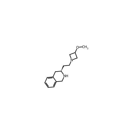 COC1CN(CC[C@@H]2Cc3ccccc3CN2)C1